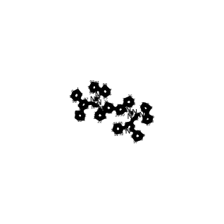 c1ccc(-c2cc(-c3ccccc3)cc(-c3cc(-n4c5ccccc5c5cc(-c6ccc7c(c6)c6ccccc6n7-c6nc(-c7cc(-c8ccccc8)nc(-c8ccccc8)c7)cc(-n7c8ccccc8c8ccccc87)n6)ccc54)nc(-n4c5ccccc5c5ccccc54)n3)c2)cc1